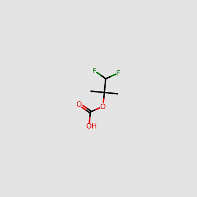 CC(C)(OC(=O)O)C(F)F